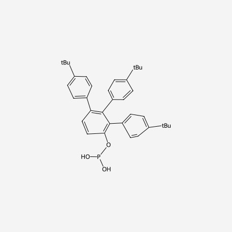 CC(C)(C)c1ccc(-c2ccc(OP(O)O)c(-c3ccc(C(C)(C)C)cc3)c2-c2ccc(C(C)(C)C)cc2)cc1